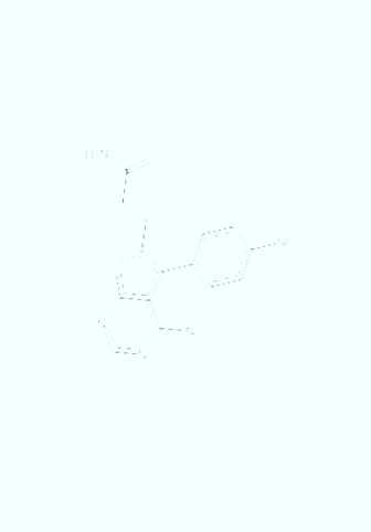 NC(=O)CCc1sc2ncnc(N)c2c1-c1ccc(N)cc1